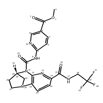 COC(=O)c1ccc(NC(=O)N2c3nc(C(=O)NCC(F)(F)F)ccc3N3CC[C@H]2C3)nc1